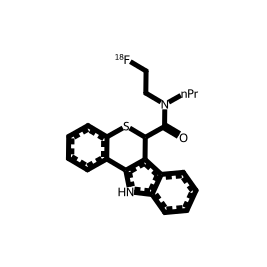 CCCN(CC[18F])C(=O)C1Sc2ccccc2-c2[nH]c3ccccc3c21